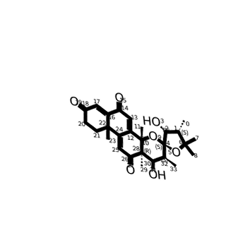 C[C@H]1[C@@H](O)[C@@]2(OC1(C)C)O[C@@]1(C)C3=CC(=O)C4=CC(=O)CCC4(C)C3=CC(=O)[C@]1(C)C(O)[C@@H]2C